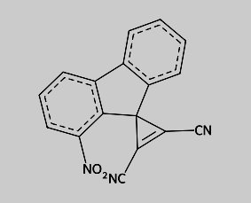 N#CC1=C(C#N)C12c1ccccc1-c1cccc([N+](=O)[O-])c12